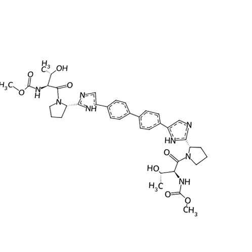 COC(=O)N[C@H](C(=O)N1CCC[C@H]1c1ncc(-c2ccc(-c3ccc(-c4cnc([C@@H]5CCCN5C(=O)[C@@H](NC(=O)OC)[C@H](C)O)[nH]4)cc3)cc2)[nH]1)[C@H](C)O